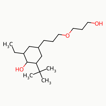 CCC1CC(CCCOCCCO)CC(C(C)(C)C)C1O